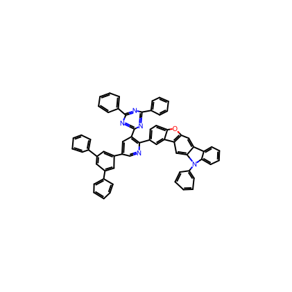 c1ccc(-c2cc(-c3ccccc3)cc(-c3cnc(-c4ccc5oc6cc7c8ccccc8n(-c8ccccc8)c7cc6c5c4)c(-c4nc(-c5ccccc5)nc(-c5ccccc5)n4)c3)c2)cc1